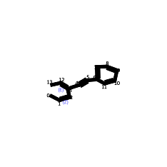 C/C=C\C(C#Cc1ccccc1)=C/C